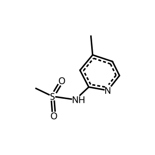 Cc1ccnc(NS(C)(=O)=O)c1